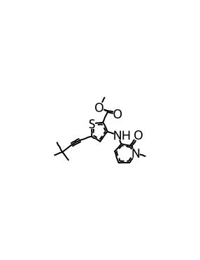 COC(=O)c1sc(C#CC(C)(C)C)cc1Nc1cccn(C)c1=O